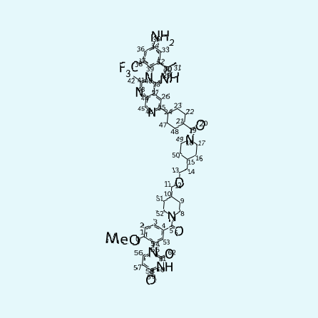 COc1ccc(C(=O)N2CCC(COCCC3CCN(C(=O)C4CCC(c5cc6c(N[C@H](C)c7cc(N)cc(C(F)(F)F)c7)nc(C)nc6cn5)CC4)CC3)CC2)cc1-n1ccc(=O)[nH]c1=O